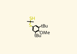 COc1c(C(C)(C)C)cc(SC(C)(C)S)cc1C(C)(C)C